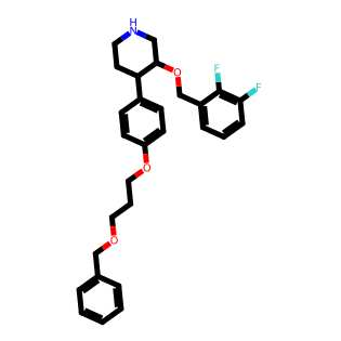 Fc1cccc(COC2CNCCC2c2ccc(OCCCOCc3ccccc3)cc2)c1F